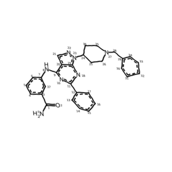 NC(=O)c1cccc(Nc2nc(-c3ccccc3)nc3c2cnn3C2CCN(Cc3ccccc3)CC2)c1